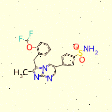 Cc1nc2ncc(-c3ccc(S(N)(=O)=O)cc3)cn2c1Cc1ccccc1OC(F)F